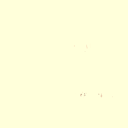 O=C(O)c1ccccc1.O=C(O)c1ccccc1.O=[N+]([O-])[Zn]